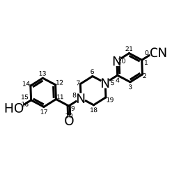 N#Cc1ccc(N2CCN(C(=O)c3cccc(O)c3)CC2)nc1